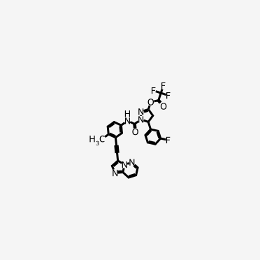 Cc1ccc(NC(=O)N2N=C(OC(=O)C(F)(F)F)CC2c2cccc(F)c2)cc1C#Cc1cnc2cccnn12